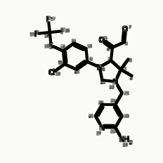 CC1(C)C(C(=O)C=O)N(c2ccc(SC(F)(F)F)c(Cl)c2)CN1Cc1ccnc(N)c1